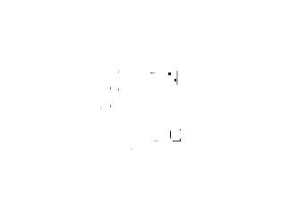 [C]1=CCO[N]1